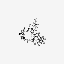 CCCNC[C@@]1(O)[C@@H](C)OC(O[C@H]2[C@H](C)[C@@H](O[C@@H]3O[C@H](C)C[C@H](N(C)S(=O)(=O)c4nccn4C)[C@H]3Oc3ccccn3)[C@](C)(O)C[C@@H](C)CN[C@H](C)[C@@H](O)[C@](C)(O)[C@@H](CC)OC(=O)[C@@H]2C)C[C@]1(C)OC